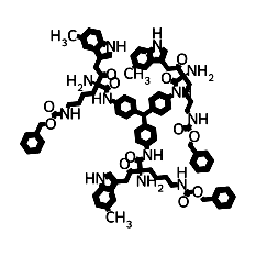 Cc1ccc2[nH]cc(CC(=O)[C@@](N)(CCCCNC(=O)OCc3ccccc3)C(=O)Nc3ccc(C(c4ccc(NC(=O)[C@](N)(CCCCNC(=O)OCc5ccccc5)C(=O)Cc5c[nH]c6ccc(C)cc56)cc4)c4ccc(NC(=O)[C@](N)(CCCCNC(=O)OCc5ccccc5)C(=O)Cc5c[nH]c6ccc(C)cc56)cc4)cc3)c2c1